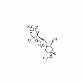 C#CC1CP(=O)(OC)CCC1(C)CC#CC1OP(C)(=O)OCC1(C)C